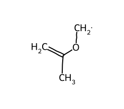 [CH2]OC(=C)C